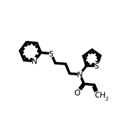 C=CC(=O)N(CCCSc1ccccn1)c1cccs1